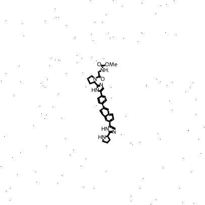 COC(=O)NCC(=O)N1CCCC1c1ncc(-c2ccc(-c3ccc4cc(-c5cnc(C6CCCN6)[nH]5)ccc4c3)cc2)[nH]1